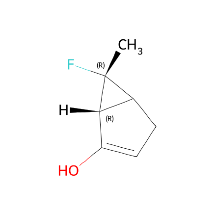 C[C@@]1(F)C2CC=C(O)[C@@H]21